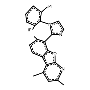 Cc1cc(C)c2c(n1)oc1c(-c3nccn3-c3c(C(C)C)cccc3C(C)C)c(C)ccc12